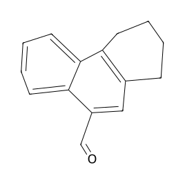 O=Cc1cc2c(c3ccccc13)CCCC2